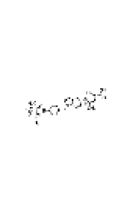 C/C(=C/C(=N)C(N)=O)Nc1ccc2c(ccn2Cc2ccc(B3OC(C)(C)C(C)(C)O3)cc2)c1